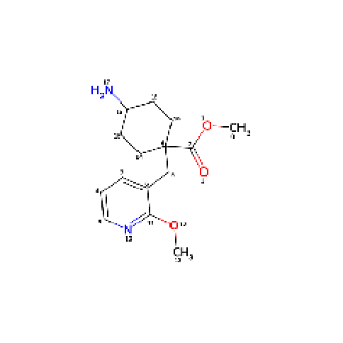 COC(=O)C1(Cc2cccnc2OC)CCC(N)CC1